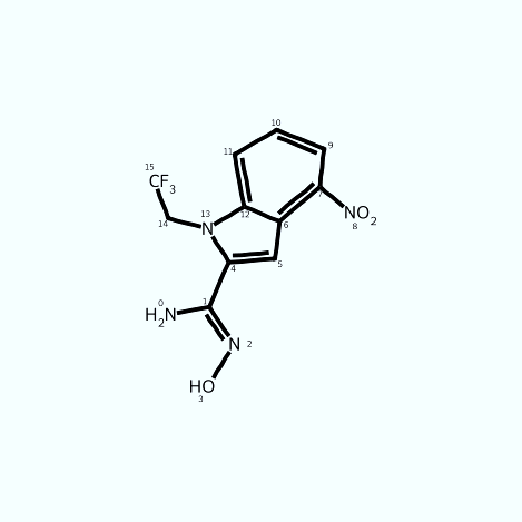 NC(=NO)c1cc2c([N+](=O)[O-])cccc2n1CC(F)(F)F